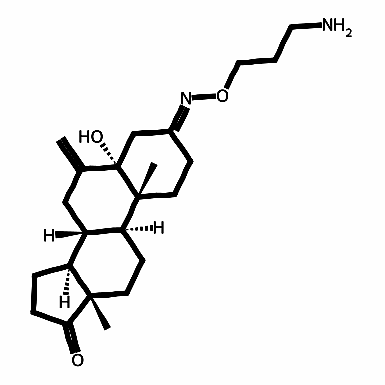 C=C1C[C@H]2[C@@H]3CCC(=O)[C@@]3(C)CC[C@@H]2[C@@]2(C)CCC(=NOCCCN)C[C@]12O